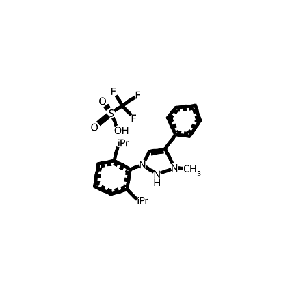 CC(C)c1cccc(C(C)C)c1N1C=C(c2ccccc2)N(C)N1.O=S(=O)(O)C(F)(F)F